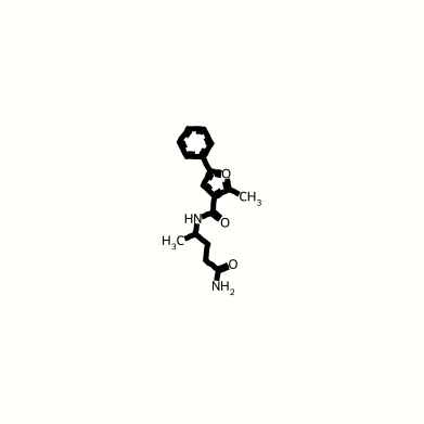 Cc1oc(-c2ccccc2)cc1C(=O)NC(C)CCC(N)=O